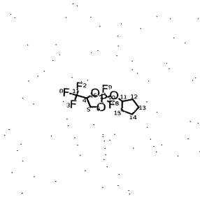 FC(F)(F)C1COP(F)(F)(OC2CCCC2)O1